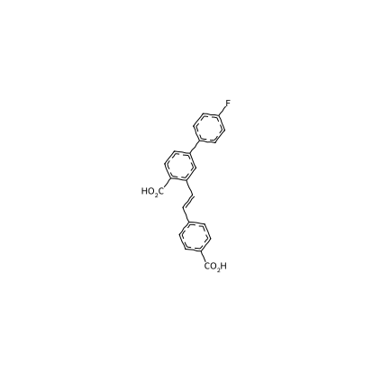 O=C(O)c1ccc(C=Cc2cc(-c3ccc(F)cc3)ccc2C(=O)O)cc1